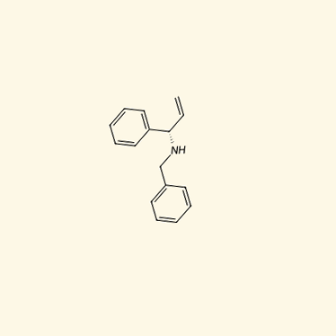 C=C[C@H](NCc1ccccc1)c1ccccc1